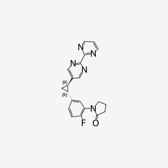 O=C1CCCN1c1cc([C@@H]2C[C@H]2c2cnc(-c3ncccn3)nc2)ccc1F